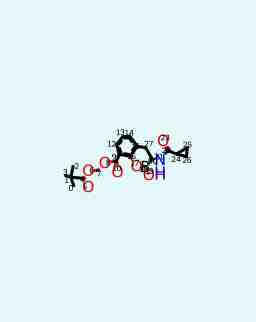 CC(C)(C)C(=O)OCOC(=O)c1cccc2c1OB(O)[C@@H](NC(=O)C1CC1)C2